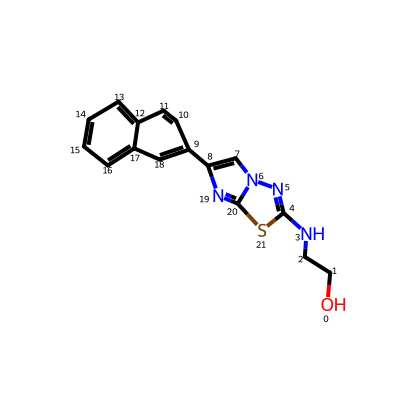 OCCNc1nn2cc(-c3ccc4ccccc4c3)nc2s1